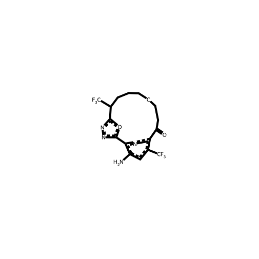 Nc1cc(C(F)(F)F)c2nc1-c1nnc(o1)C(C(F)(F)F)CCCCCCC2=O